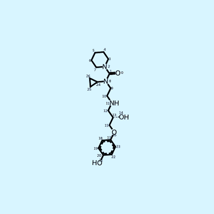 O=C(N1CCCCC1)N(CCNC[C@H](O)COc1ccc(O)cc1)C1CC1